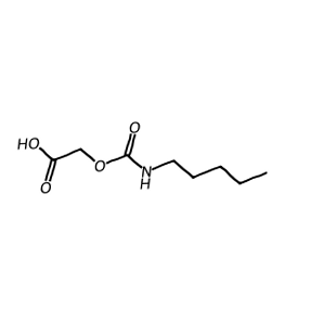 CCCCCNC(=O)OCC(=O)O